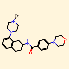 CCN1CCN(c2cccc3c2CC(NC(=O)c2ccc(N4CCOCC4)cc2)CC3)CC1